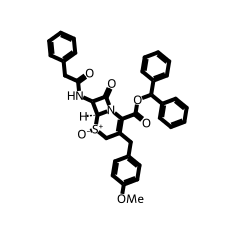 COc1ccc(CC2=C(C(=O)OC(c3ccccc3)c3ccccc3)N3C(=O)C(NC(=O)Cc4ccccc4)[C@@H]3[S+]([O-])C2)cc1